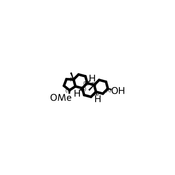 CO[C@H]1CC[C@]2(C)CC[C@@H]3[C@H](CC[C@@H]4C[C@H](O)CC[C@]43C)C12